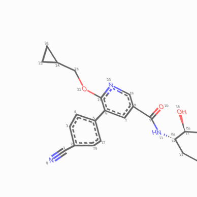 N#Cc1ccc(-c2cc(C(=O)N[C@H]3CCCC[C@@H]3O)cnc2OCC2CC2)cc1